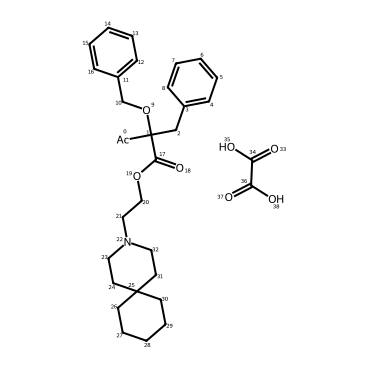 CC(=O)C(Cc1ccccc1)(OCc1ccccc1)C(=O)OCCN1CCC2(CCCCC2)CC1.O=C(O)C(=O)O